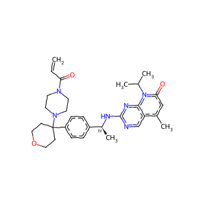 C=CC(=O)N1CCN(C2(c3ccc([C@H](C)Nc4ncc5c(C)cc(=O)n(C(C)C)c5n4)cc3)CCOCC2)CC1